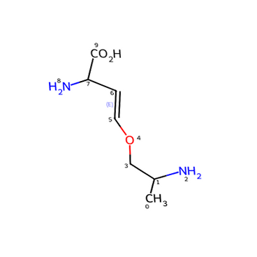 CC(N)CO/C=C/C(N)C(=O)O